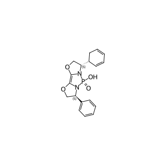 O=P1(O)N2C(=C3OC[C@H](C4C=CC=CC4)N31)OC[C@@H]2c1ccccc1